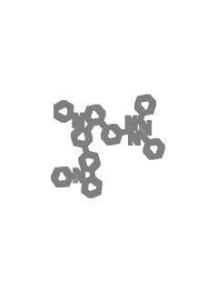 c1ccc(-c2nc(-c3ccccc3)nc(-c3cccc(-c4cccc5c4c4cc(-c6ccc7c8ccccc8n(-c8ccccc8)c7c6)ccc4n5-c4ccccc4)c3)n2)cc1